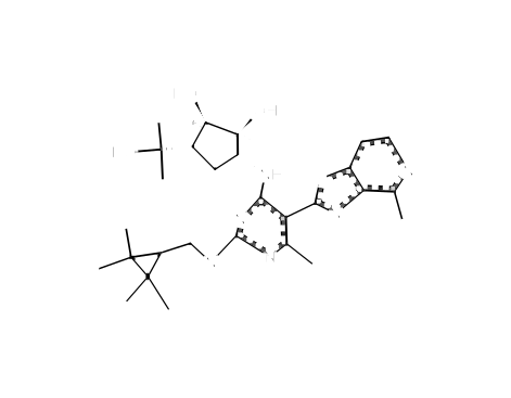 Cc1nc(NCC2C(C)(C)C2(C)C)nc(N[C@@H]2C[C@H](C(C)(C)O)[C@@H](O)[C@H]2O)c1-c1nc2c(C)nccc2s1